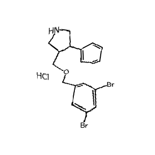 Brc1cc(Br)cc(COCC2CNCC2c2ccccc2)c1.Cl